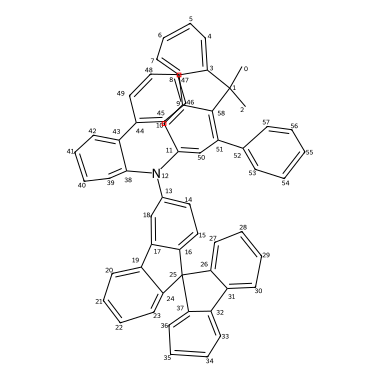 CC1(C)c2ccccc2-c2cc(N(c3ccc4c(c3)-c3ccccc3C43c4ccccc4-c4ccccc43)c3ccccc3-c3ccccc3)cc(-c3ccccc3)c21